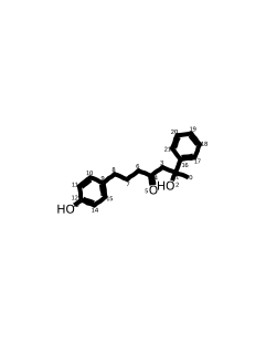 CC(O)(CC(=O)CCCc1ccc(O)cc1)c1ccccc1